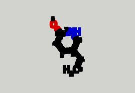 C=Cc1ccc(=O)[nH]c1